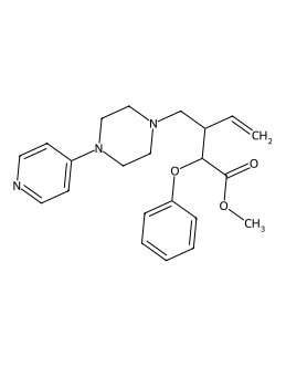 C=CC(CN1CCN(c2ccncc2)CC1)C(Oc1ccccc1)C(=O)OC